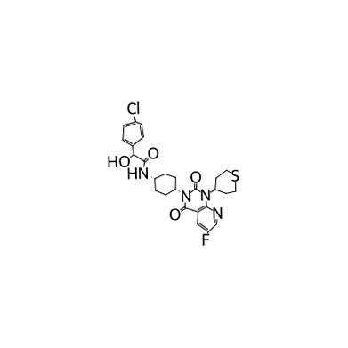 O=C(N[C@H]1CC[C@@H](n2c(=O)c3cc(F)cnc3n(C3CCSCC3)c2=O)CC1)C(O)c1ccc(Cl)cc1